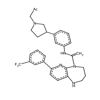 C=C(Nc1cccc(C2CCN(CC(C)=O)C2)c1)N1CCCNc2ccc(-c3cccc(C(F)(F)F)c3)nc21